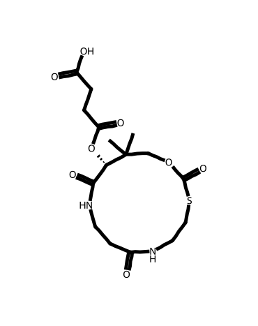 CC1(C)COC(=O)SCCNC(=O)CCNC(=O)[C@@H]1OC(=O)CCC(=O)O